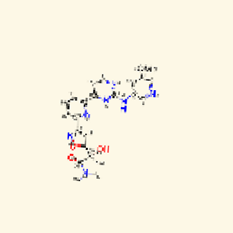 COc1cncc(Nc2nccc(-c3cccc(-c4cc(C5(O)CCN(C)C5=O)on4)n3)n2)c1